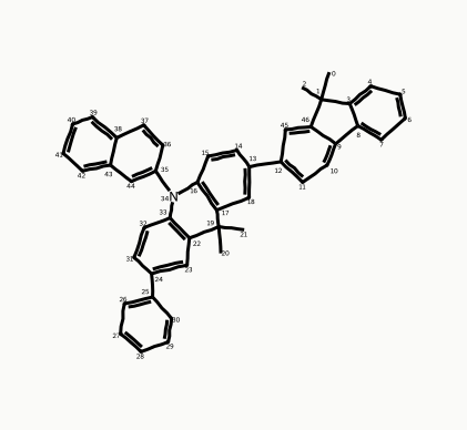 CC1(C)c2ccccc2-c2ccc(-c3ccc4c(c3)C(C)(C)c3cc(-c5ccccc5)ccc3N4c3ccc4ccccc4c3)cc21